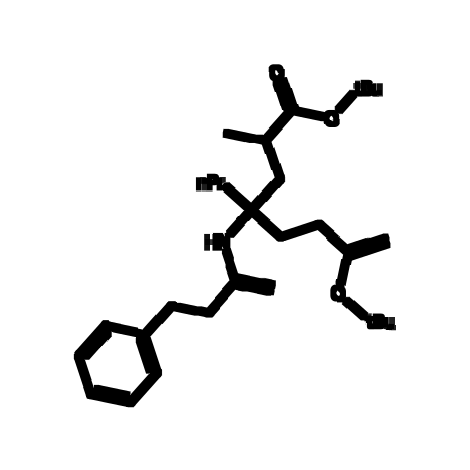 C=C(CCc1ccccc1)NC(CCC)(CCC(=C)OC(C)(C)C)CC(C)C(=O)OC(C)(C)C